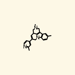 Cc1ccc2c(c1)c1c3n2CC(c2ccnc(C)c2)=CC3CN(C)C1